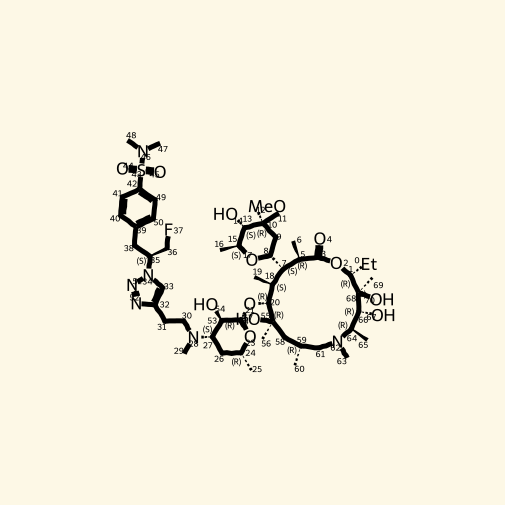 CC[C@H]1OC(=O)[C@H](C)[C@@H](C2C[C@@](C)(OC)[C@@H](O)[C@H](C)O2)[C@H](C)[C@@H](O[C@@H]2O[C@H](C)C[C@H](N(C)CCc3cn([C@H](CF)Cc4ccc(S(=O)(=O)N(C)C)cc4)nn3)[C@H]2O)[C@](C)(O)C[C@@H](C)CN(C)[C@H](C)[C@@H](O)[C@]1(C)O